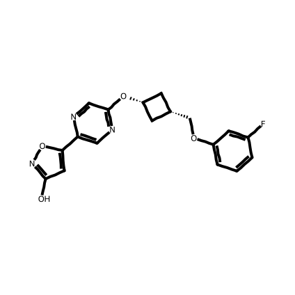 Oc1cc(-c2cnc(O[C@H]3C[C@@H](COc4cccc(F)c4)C3)cn2)on1